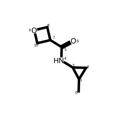 CC1CC1NC(=O)C1COC1